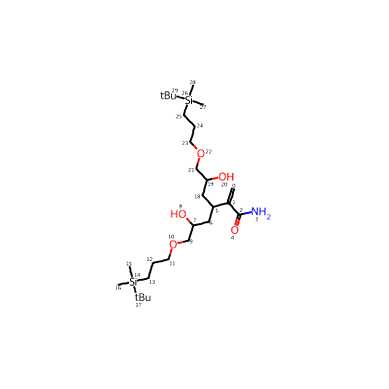 C=C(C(N)=O)C(CC(O)COCCC[Si](C)(C)C(C)(C)C)CC(O)COCCC[Si](C)(C)C(C)(C)C